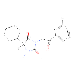 CN1C(=O)N(CC(=O)c2cccc([N+](=O)[O-])c2)C(=O)C1(C)C1CCCCC1